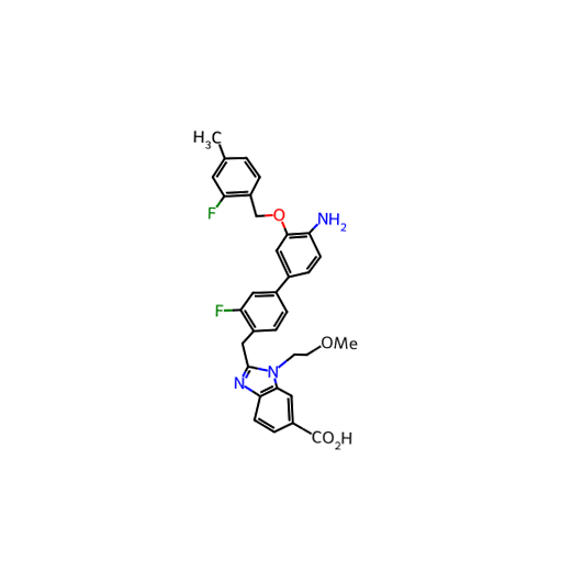 COCCn1c(Cc2ccc(-c3ccc(N)c(OCc4ccc(C)cc4F)c3)cc2F)nc2ccc(C(=O)O)cc21